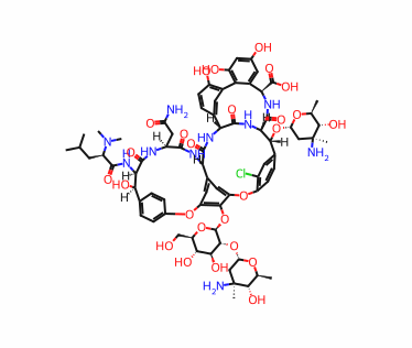 CC(C)C[C@H](C(=O)N[C@H]1C(=O)N[C@@H](CC(N)=O)C(=O)N[C@H]2C(=O)N[C@H]3C(=O)N[C@H](C(=O)N[C@H](C(=O)O)c4cc(O)cc(O)c4-c4cc3ccc4O)[C@H](O[C@H]3C[C@](C)(N)[C@@H](O)[C@H](C)O3)c3ccc(c(Cl)c3)Oc3cc2cc(c3O[C@@H]2O[C@H](CO)[C@@H](O)[C@H](O)[C@H]2O[C@H]2C[C@](C)(N)[C@@H](O)[C@H](C)O2)Oc2ccc(cc2)[C@H]1O)N(C)C